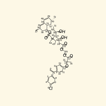 C=C(c1ccc(Cl)cc1)c1ccc(OC(C)(C)C(=O)OCOC(=O)C[C@H](O)C[C@H](O)CC[C@@H]2C3C(=C[C@H](C)C[C@@H]3OC(=O)C(C)(C)CC)C=C[C@@H]2C)cc1